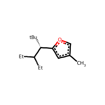 CCC(CC)[C@@H](c1cc(C)co1)C(C)(C)C